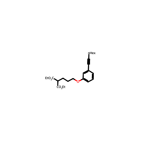 CCCCCCC#Cc1cccc(OCCCC(C(=O)OCC)C(=O)OCC)c1